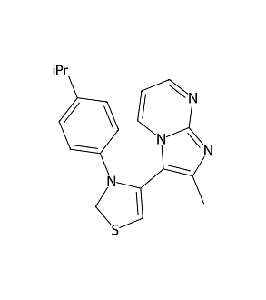 Cc1nc2ncccn2c1C1=CSCN1c1ccc(C(C)C)cc1